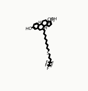 C[C@]12CC[C@@H]3c4ccc(O)cc4CC(CCCCCCCCCSCCCC(F)(F)C(F)(F)F)[C@H]3[C@@H]1CCC2O